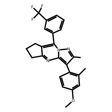 COc1ccc(-c2c(C)nn3c(-c4cccc(C(F)(F)F)c4)c4c(nc23)CCC4)c(C)c1